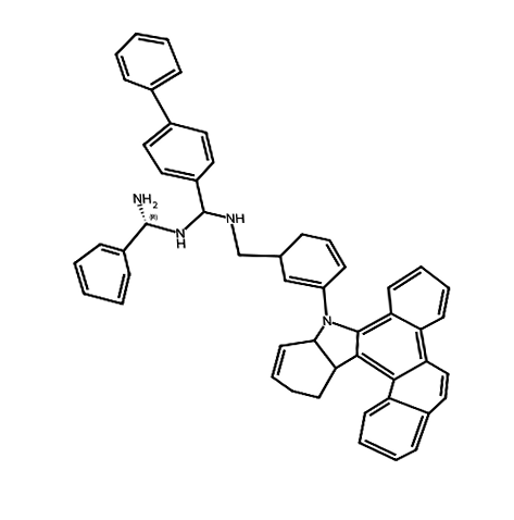 N[C@H](NC(NCC1C=C(N2c3c(c4c5ccccc5ccc4c4ccccc34)C3CCC=CC32)C=CC1)c1ccc(-c2ccccc2)cc1)c1ccccc1